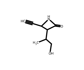 C#CC1NC(=O)C1C(C)CO